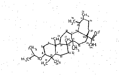 CC(C)OC1CCC2(C)C(CCC3(C)C2CCC2C4C(C)C(C)CCC4(C(=O)O)CCC23C)C1(C)C